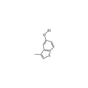 [CH2]c1csc2ccc(OCC)cc12